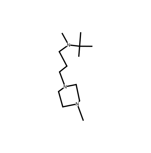 CN1CCN(CCCN(C)C(C)(C)C)CC1